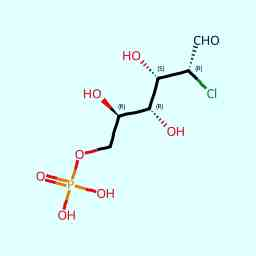 O=C[C@H](Cl)[C@@H](O)[C@H](O)[C@H](O)COP(=O)(O)O